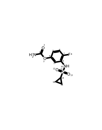 NC(=O)Oc1ccc(F)c(NS(=O)(=O)C2CC2)c1